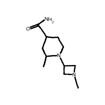 CC1CC(C(N)=O)CCN1C1CN(C)C1